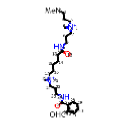 CNCCC[N+](C)(C)CCCNC(=O)CCCCC[N+](C)(C)CCCNC(=O)c1ccccc1C=O